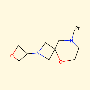 CC(C)N1CCOC2(C1)CN(C1COC1)C2